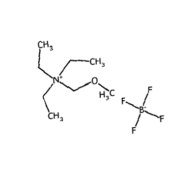 CC[N+](CC)(CC)COC.F[B-](F)(F)F